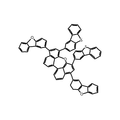 C1=C(c2cc(-c3ccc4sc5ccccc5c4c3)c3oc4c(-c5ccc6sc7ccccc7c6c5)cc(-c5ccc6oc7ccccc7c6c5)c5cccc(c6cccc2c36)c54)CCc2oc3ccccc3c21